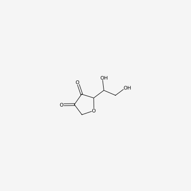 O=C1COC(C(O)CO)C1=O